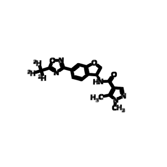 [2H]C([2H])([2H])c1nc(-c2ccc3c(c2)OC[C@H]3NC(=O)c2cnn(C)c2C)no1